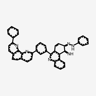 N=C1/C(=N\Nc2ccccc2)C=Cc2c(-c3cccc(-c4ccc5ccc6ccc(-c7ccccc7)nc6c5n4)c3)nc3ccccc3c21